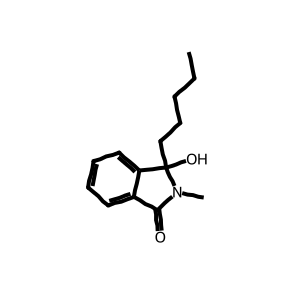 CCCCCC1(O)c2ccccc2C(=O)N1C